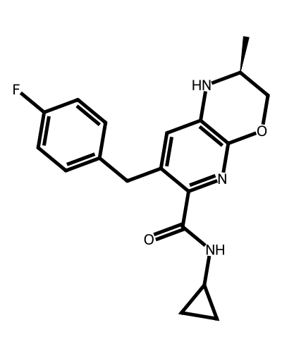 C[C@H]1COc2nc(C(=O)NC3CC3)c(Cc3ccc(F)cc3)cc2N1